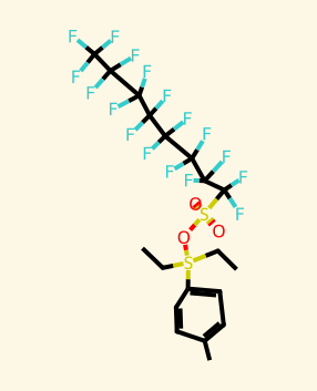 CCS(CC)(OS(=O)(=O)C(F)(F)C(F)(F)C(F)(F)C(F)(F)C(F)(F)C(F)(F)C(F)(F)C(F)(F)F)c1ccc(C)cc1